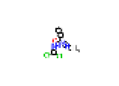 CN1CCN(C(C(=O)NNc2cc(Cl)cc(Cl)c2)c2ccc3ccccc3c2)CC1